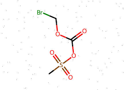 CS(=O)(=O)OC(=O)OCBr